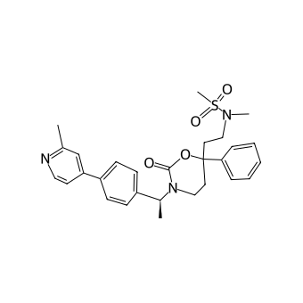 Cc1cc(-c2ccc([C@H](C)N3CCC(CCN(C)S(C)(=O)=O)(c4ccccc4)OC3=O)cc2)ccn1